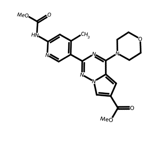 COC(=O)Nc1cc(C)c(-c2nc(N3CCOCC3)c3cc(C(=O)OC)cn3n2)cn1